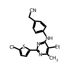 CCc1c(C)nc(-c2ccc(Cl)s2)nc1Nc1ccc(CC#N)cc1